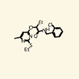 CCSc1nc(C)cc(OC(CC)C(=O)NCc2ccccc2Cl)n1